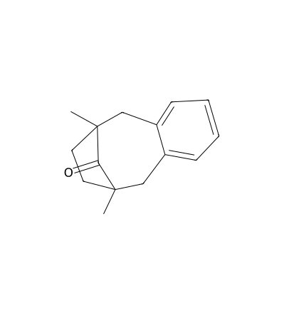 CC12CCC(C)(Cc3ccccc3C1)C2=O